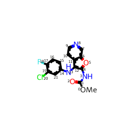 COC(=O)Nc1oc2cnccc2c1Nc1ccc(F)c(Cl)c1